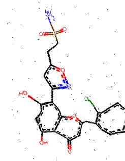 NS(=O)(=O)CCc1cc(-c2c(O)cc(O)c3c(=O)cc(-c4ccccc4Cl)oc23)no1